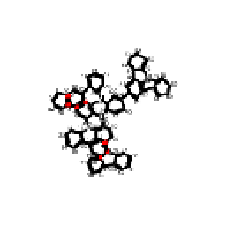 c1ccc(-c2cc3c4c(c2)N(c2ccccc2-c2ccccc2)c2cc(-n5c6ccccc6c6ccccc65)ccc2B4c2ccc(-c4cc5c6ccccc6n6c7ccccc7c(c4)c56)cc2N3c2ccccc2-c2ccccc2)cc1